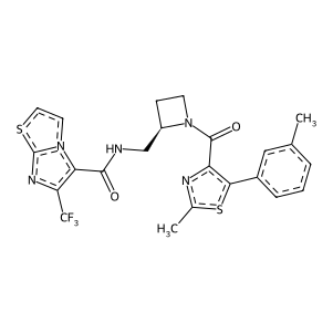 Cc1cccc(-c2sc(C)nc2C(=O)N2CC[C@@H]2CNC(=O)c2c(C(F)(F)F)nc3sccn23)c1